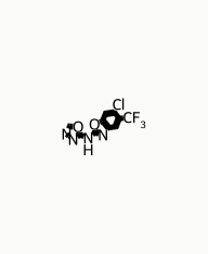 FC(F)(F)c1cc2nc(Nc3nnco3)oc2cc1Cl